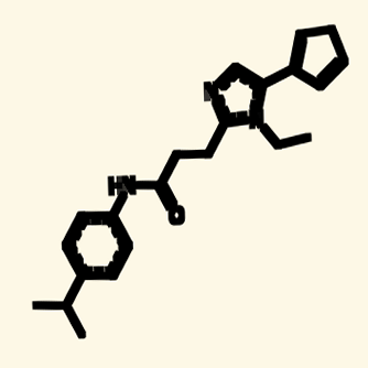 CCn1c(C2=CCC=C2)cnc1CCC(=O)Nc1ccc(C(C)C)cc1